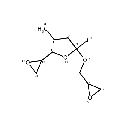 CCCC(I)(OCC1CO1)OCC1CO1